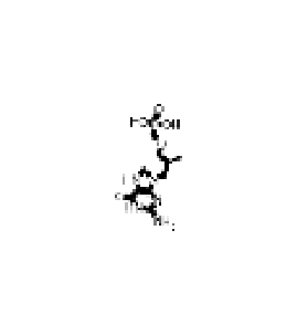 C[C@H](COCP(=O)(O)O)CN1CNc2c1nc(N)[nH]c2=O